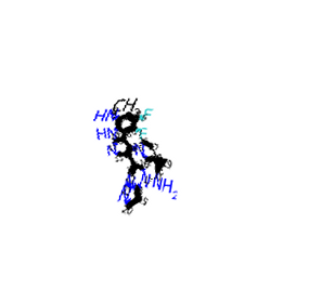 CNc1cc(F)c(F)c2c1[nH]c1ncc(-c3cnc4ccnn4c3)c(N3CC[C@@]4(C[C@@H]4N)C3)c12